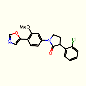 COc1cc(N2CCC(c3ccccc3Cl)C2=O)ccc1-c1cnco1